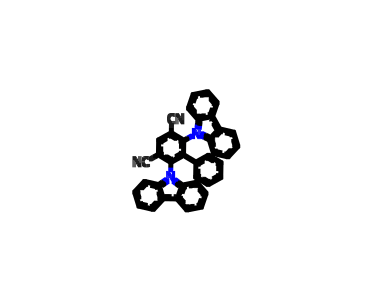 N#Cc1cc(C#N)c(-n2c3ccccc3c3ccccc32)c(-c2ccccc2)c1-n1c2ccccc2c2ccccc21